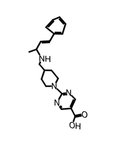 CC(/C=C/c1ccccc1)NCC1CCN(c2ncc(C(=O)O)cn2)CC1